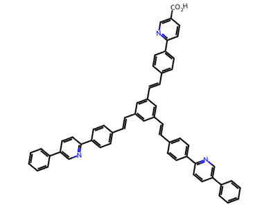 O=C(O)c1ccc(-c2ccc(/C=C/c3cc(/C=C/c4ccc(-c5ccc(-c6ccccc6)cn5)cc4)cc(/C=C/c4ccc(-c5ccc(-c6ccccc6)cn5)cc4)c3)cc2)nc1